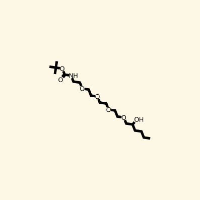 CCCCC(O)COCCOCCOCCOCCNC(=O)OC(C)(C)C